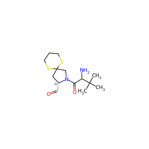 CC(C)(C)C(N)C(=O)N1CC2(C[C@H]1C=O)SCCCS2